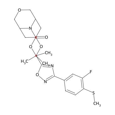 CSc1ccc(-c2noc(COC3CC4COCC(C3)N4C(=O)OC(C)(C)C)n2)cc1F